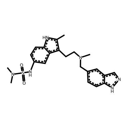 Cc1[nH]c2ccc(NS(=O)(=O)N(C)C)cc2c1CCN(C)Cc1ccc2[nH]ncc2c1